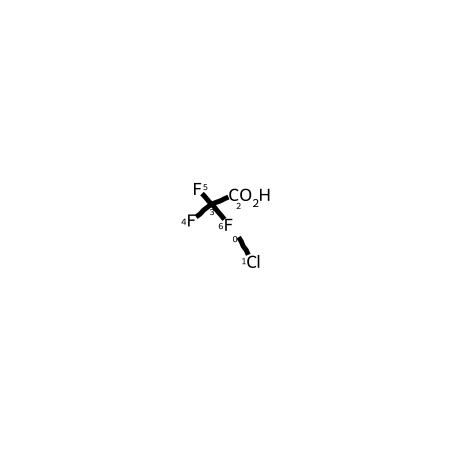 CCl.O=C(O)C(F)(F)F